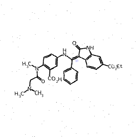 CCOC(=O)c1ccc2c(c1)NC(=O)/C2=C(\Nc1ccc(N(C)C(=O)CN(C)C)c(C(=O)O)c1)c1ccccc1